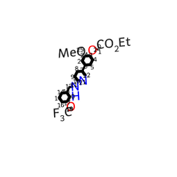 CCOC(=O)COc1ccc(-c2ccc(NCc3cccc(OC(F)(F)F)c3)nc2)cc1OC